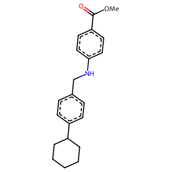 COC(=O)c1ccc(NCc2ccc(C3CCCCC3)cc2)cc1